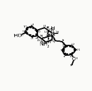 COc1ccc(CCN[C@H]2[C@H]3Cc4ccc(O)cc4[C@]2(N)CCN3C)cc1